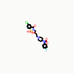 O=C1c2cc(Cl)ccc2S(O)(O)N1CCCCN1CCC(n2c(=O)oc3cc(F)ccc32)CC1